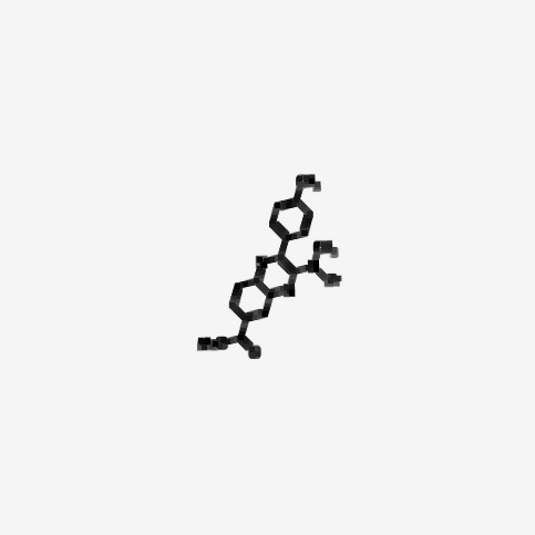 COC(=O)c1ccc2nc(-c3ccc(C)cc3)c(N(C)C(C)C)nc2c1